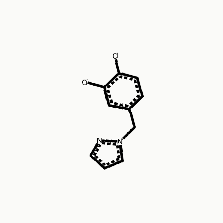 Clc1ccc(Cn2cccn2)cc1Cl